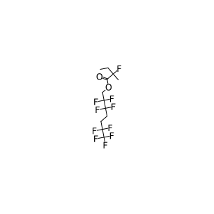 CCC(C)(F)C(=O)OCC(F)(F)C(F)(F)CCC(F)(F)C(F)(F)F